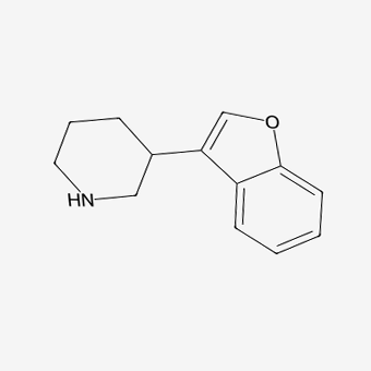 c1ccc2c(C3CCCNC3)coc2c1